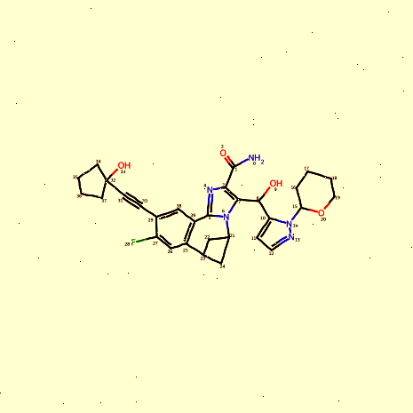 NC(=O)c1nc2n(c1C(O)c1ccnn1C1CCCCO1)C1CC(C1)c1cc(F)c(C#CC3(O)CCCC3)cc1-2